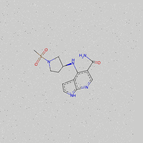 CS(=O)(=O)N1CC[C@H](Nc2c(C(N)=O)cnc3[nH]ccc23)C1